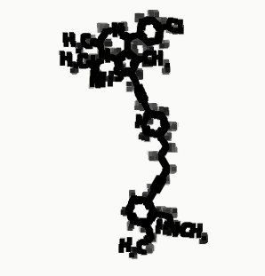 C=Cc1cccc(C#CCCCc2ccc(C#Cc3sc4c(c3C)C(c3ccc(Cl)cc3)=NCC(=C)N4C(C)=N)nc2)c1CNC